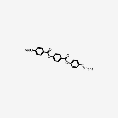 CCCCCOc1ccc(OC(=O)c2ccc(OC(=O)c3ccc(OC)cc3)cc2)cc1